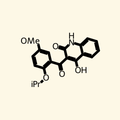 COc1ccc(OC(C)C)c(C(=O)c2c(O)c3ccccc3[nH]c2=O)c1